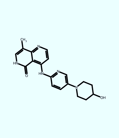 Cc1c[nH]c(=O)c2c(Nc3ccc(N4CCC(O)CC4)cn3)ccnc12